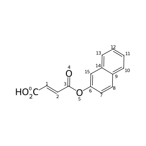 O=C(O)/C=C/C(=O)Oc1ccc2ccccc2c1